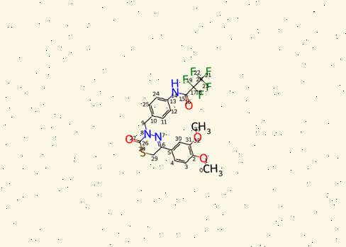 COc1ccc(C2=NN(Cc3ccc(NC(=O)C(F)(F)C(F)(F)F)cc3)C(=O)SC2)cc1OC